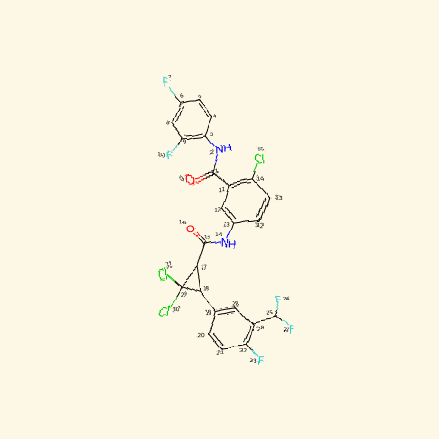 O=C(Nc1ccc(F)cc1F)c1cc(NC(=O)C2C(c3ccc(F)c(C(F)F)c3)C2(Cl)Cl)ccc1Cl